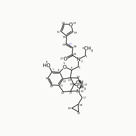 CCN(CC1Oc2c(O)ccc3c2C12CCN(CC1CC1)C(C3)C2(C)O)C(=O)/C=C/c1ccoc1